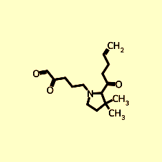 C=CCCC(=O)C1N(CCCC(=O)C=O)CCC1(C)C